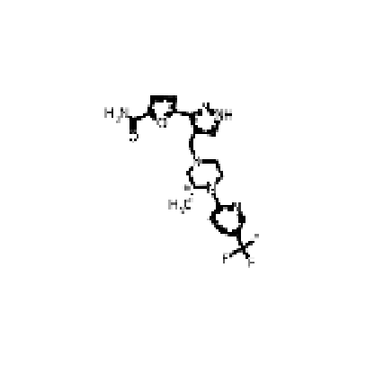 C[C@@H]1CN(Cc2c[nH]nc2-c2ccc(C(N)=O)o2)CCN1c1ccc(C(F)(F)F)cn1